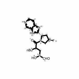 CCCCC(CN(O)C=O)C(=O)N1C[C@H](F)C[C@H]1c1nc2ccncc2[nH]1